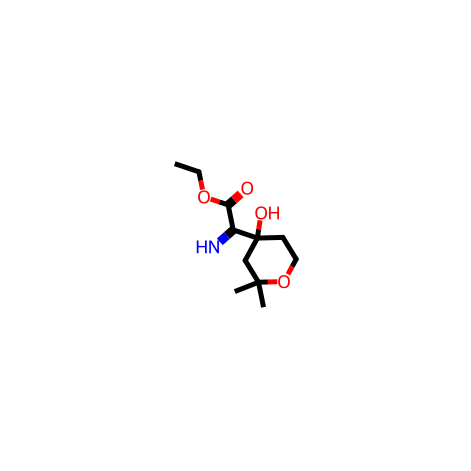 CCOC(=O)C(=N)C1(O)CCOC(C)(C)C1